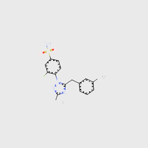 COc1cccc(Cc2nc(C(=O)O)nn2-c2ccc(S(N)(=O)=O)cc2F)c1